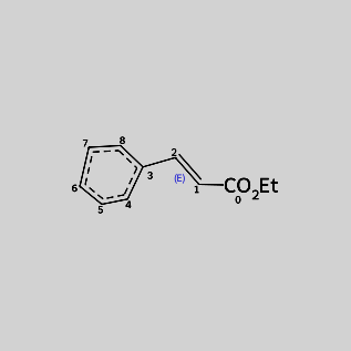 [CH2]COC(=O)/C=C/c1ccccc1